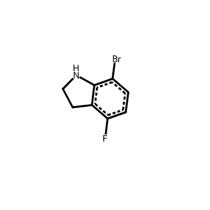 Fc1ccc(Br)c2c1CCN2